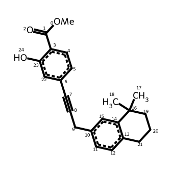 COC(=O)c1ccc(C#CCc2ccc3c(c2)C(C)(C)CCC3)cc1O